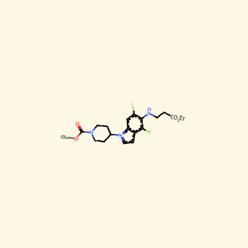 CCOC(=O)CCNc1c(F)cc2c(ccn2C2CCN(C(=O)OC(C)(C)C)CC2)c1F